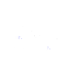 CC[N+](C)(C)C1CC(C)(C)NC(C)(C)C1